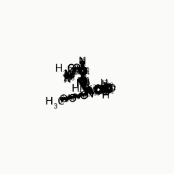 COCCOCCCOc1nn(C2CCC(N3[C@@H]4CC[C@H]3COC4)CC2)cc1Nc1ncc(-c2ccc(C#N)c(O[C@@H](C)Cn3cncn3)c2)cn1